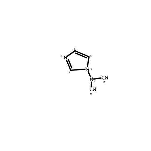 N#CN(C#N)n1ccnc1